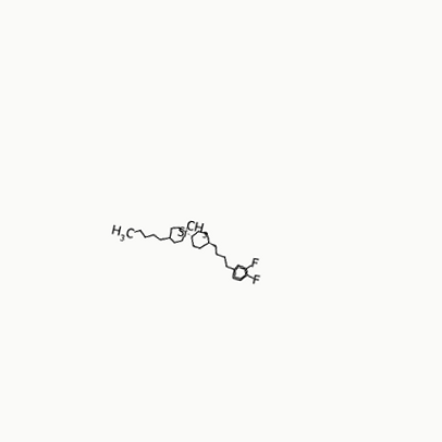 CCCCCC1CC[Si](C)([C@H]2CC[C@H](CCCCc3ccc(F)c(F)c3)CC2)CC1